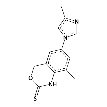 Cc1cn(-c2cc(C)c3c(c2)COC(=S)N3)cn1